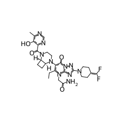 CCc1c(N2CCN(C(=O)c3ncnc(C)c3O)[C@H]3CC[C@@H]32)c(=O)n2nc(N3CCC(=C(F)F)CC3)nc2n1CC(N)=O